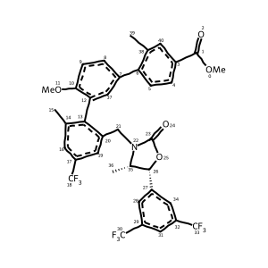 COC(=O)c1ccc(-c2ccc(OC)c(-c3c(C)cc(C(F)(F)F)cc3CN3C(=O)O[C@H](c4cc(C(F)(F)F)cc(C(F)(F)F)c4)[C@@H]3C)c2)c(C)c1